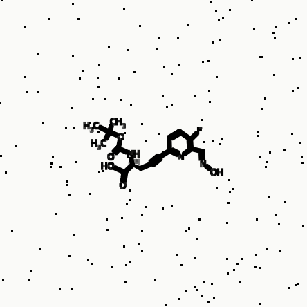 CC(C)(C)OC(=O)N[C@@H](CC#Cc1ccc(F)c(C=NO)n1)C(=O)O